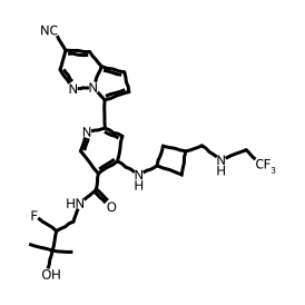 CC(C)(O)C(F)CNC(=O)c1cnc(-c2ccc3cc(C#N)cnn23)cc1NC1CC(CNCC(F)(F)F)C1